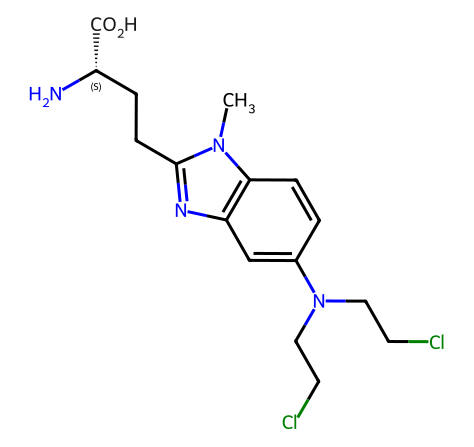 Cn1c(CC[C@H](N)C(=O)O)nc2cc(N(CCCl)CCCl)ccc21